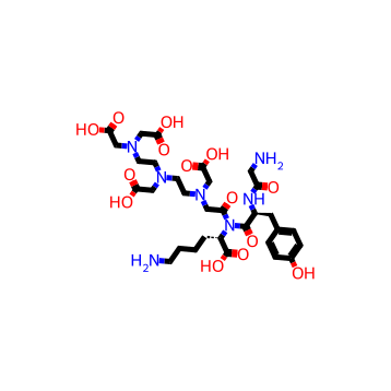 NCCCC[C@@H](C(=O)O)N(C(=O)CN(CCN(CCN(CC(=O)O)CC(=O)O)CC(=O)O)CC(=O)O)C(=O)[C@H](Cc1ccc(O)cc1)NC(=O)CN